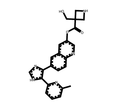 Cc1cccc(-c2[nH]cnc2-c2ccc3ncc(OC(=O)C4(CO)CNC4)cc3c2)n1